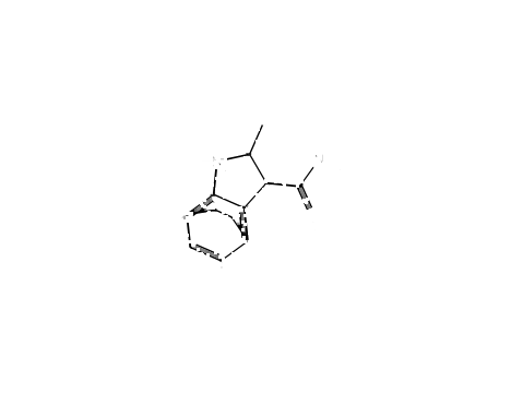 CC1Nc2c3ccc(c2C1C(N)=O)CC3